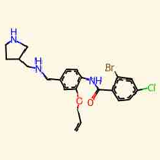 C=CCOc1cc(CNCC2CCNC2)ccc1NC(=O)c1ccc(Cl)cc1Br